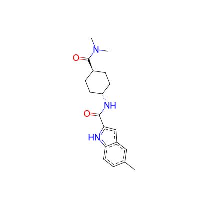 Cc1ccc2[nH]c(C(=O)N[C@H]3CC[C@H](C(=O)N(C)C)CC3)cc2c1